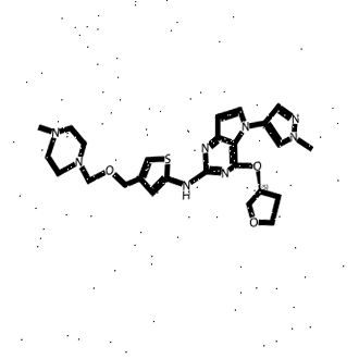 CN1CCN(COCc2csc(Nc3nc(O[C@H]4CCOC4)c4c(ccn4-c4cnn(C)c4)n3)c2)CC1